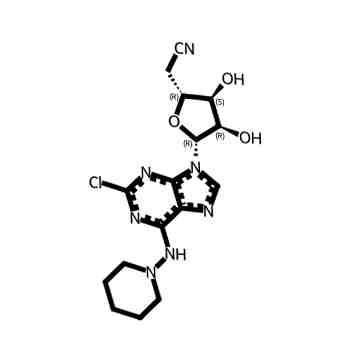 N#CC[C@H]1O[C@@H](n2cnc3c(NN4CCCCC4)nc(Cl)nc32)[C@H](O)[C@@H]1O